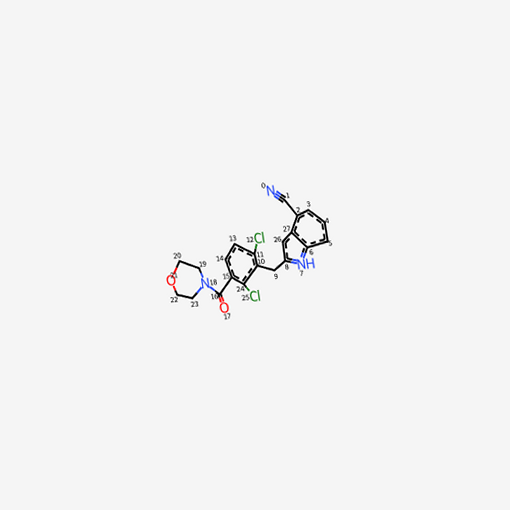 N#Cc1cccc2[nH]c(Cc3c(Cl)ccc(C(=O)N4CCOCC4)c3Cl)cc12